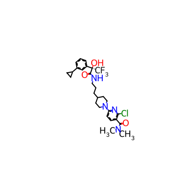 CN(C)C(=O)c1ccc(N2CCC(CCCNC(=O)[C@](O)(c3cccc(C4CC4)c3)C(F)(F)F)CC2)nc1Cl